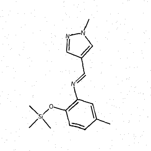 Cc1ccc(O[Si](C)(C)C)c(N=Cc2cnn(C)c2)c1